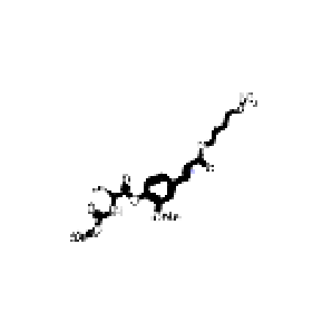 CCCC(NC(=O)OC(C)(C)C)C(=O)Oc1ccc(/C=C/C(=O)OCCCCO[N+](=O)[O-])cc1OC